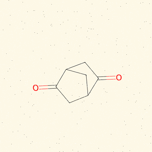 O=C1CC2CC1CC2=O